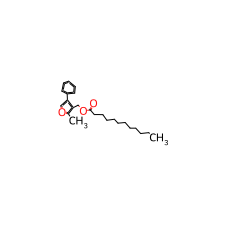 CCCCCCCCCCCC(=O)OCc1c(-c2ccccc2)coc1C